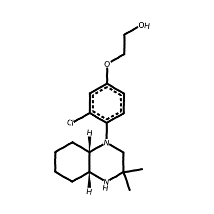 CC1(C)CN(c2ccc(OCCO)cc2Cl)[C@H]2CCCC[C@H]2N1